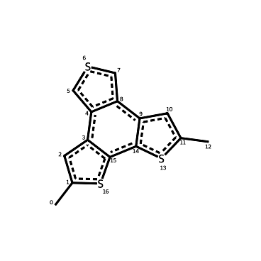 Cc1cc2c3cscc3c3cc(C)sc3c2s1